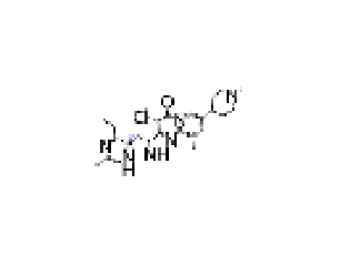 CCC1=NC(C)=CN/C1=C\C(=N)c1nc2c(C)cc(C3CCN(C)CC3)cn2c(=O)c1Cl